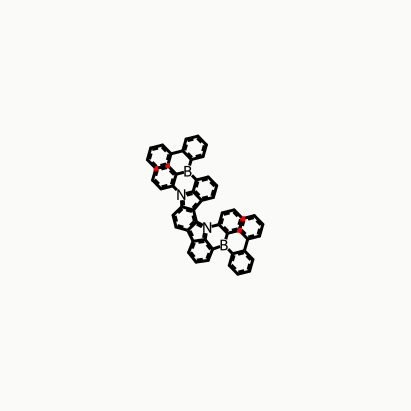 c1ccc(-c2ccccc2B2c3ccccc3-n3c4ccc5c6cccc7c6n(c5c4c4cccc2c43)-c2ccccc2B7c2ccccc2-c2ccccc2)cc1